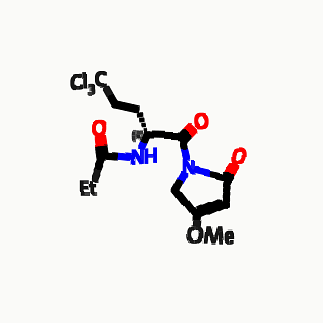 CCC(=O)N[C@H](CCC(Cl)(Cl)Cl)C(=O)N1CC(OC)=CC1=O